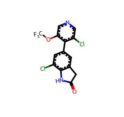 O=C1Cc2cc(-c3c(Cl)cncc3OC(F)(F)F)cc(Cl)c2N1